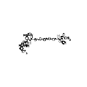 CN1C(=O)C[C@H](C(=O)NCCOCCOCCOCCOCCOCCC(=O)N[C@@H]2C[C@H](NC(C)(C)C)CC[C@@H]2N2CC[C@H](Nc3ncnc4ccc(C(F)(F)F)cc34)C2=O)[C@H]1c1cccnc1